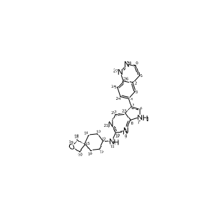 c1cc2cc(-c3c[nH]c4nc(NC5CCC6(CC5)COC6)ncc34)ccc2nn1